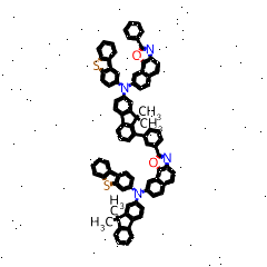 CC1(C)c2ccccc2-c2ccc(N(c3ccc4c(c3)sc3ccccc34)c3ccc4ccc5nc(-c6cccc(-c7cccc8c7C(C)(C)c7cc(N(c9ccc%10sc%11ccccc%11c%10c9)c9ccc%10ccc%11nc(-c%12ccccc%12)oc%11c%10c9)ccc7-8)c6)oc5c4c3)cc21